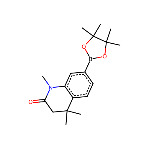 CN1C(=O)CC(C)(C)c2ccc(B3OC(C)(C)C(C)(C)O3)cc21